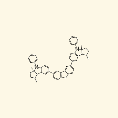 CC1CCC2(C)C1c1cc(-c3ccc4c(c3)-c3cc(-c5ccc6c(c5)C5C(C)CCC5(C)N6c5ccccc5)ccc3C4)ccc1N2c1ccccc1